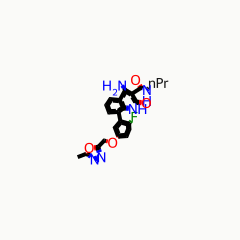 CCCNC(=O)c1c(N)c2cccc(-c3cc(OCc4nnc(C)o4)ccc3F)c2[nH]c1=O